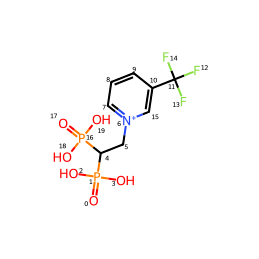 O=P(O)(O)C(C[n+]1cccc(C(F)(F)F)c1)P(=O)(O)O